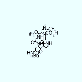 CCCCNC(=O)C[C@H](NC(=O)[C@H](CC(C)C)NC(=O)[C@H](CN(C)CC(F)(F)F)NC(=O)O)C(=O)[C@@H]1CCNC1=O